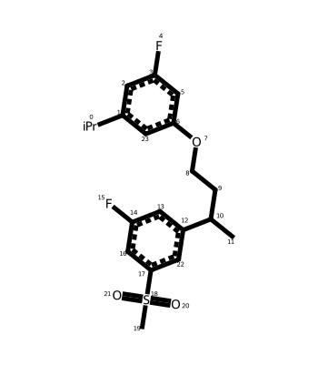 CC(C)c1cc(F)cc(OCCC(C)c2cc(F)cc(S(C)(=O)=O)c2)c1